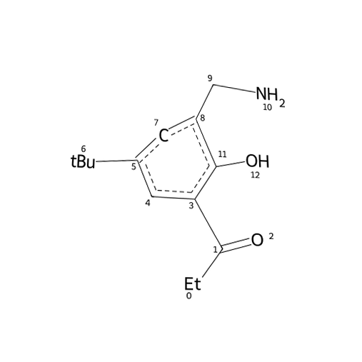 CCC(=O)c1cc(C(C)(C)C)cc(CN)c1O